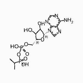 CC(C)P(=O)(O)OP(=O)(O)OC[C@H]1O[C@@H](n2cnc3c(N)ncnc32)C(O)C1O